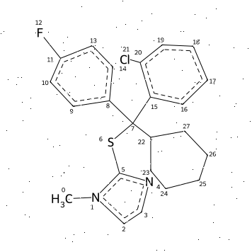 Cn1ccnc1SC(c1ccc(F)cc1)(c1ccccc1Cl)C1CCCCC1